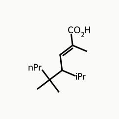 CCCC(C)(C)C(C=C(C)C(=O)O)C(C)C